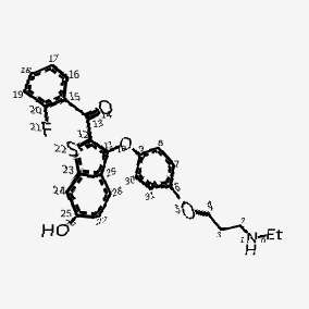 CCNCCCOc1ccc(Oc2c(C(=O)c3ccccc3F)sc3cc(O)ccc23)cc1